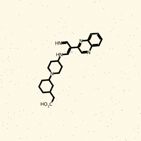 N=C/C(=C\NC1CCN(C2CCCC(CC(=O)O)C2)CC1)c1cnc2ccccc2n1